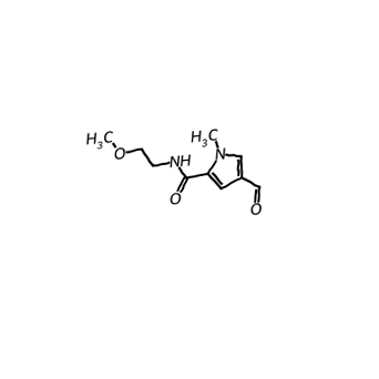 COCCNC(=O)c1cc(C=O)cn1C